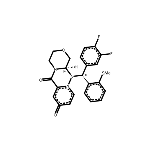 CSc1ccccc1[C@@H](c1ccc(F)c(F)c1)N1[C@@H]2COCCN2C(=O)c2cc(=O)ccn21